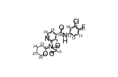 CS(=O)(=O)N(c1cc(C(=O)Nc2ccc(F)c(Cl)c2)ccn1)C1CCCCO1